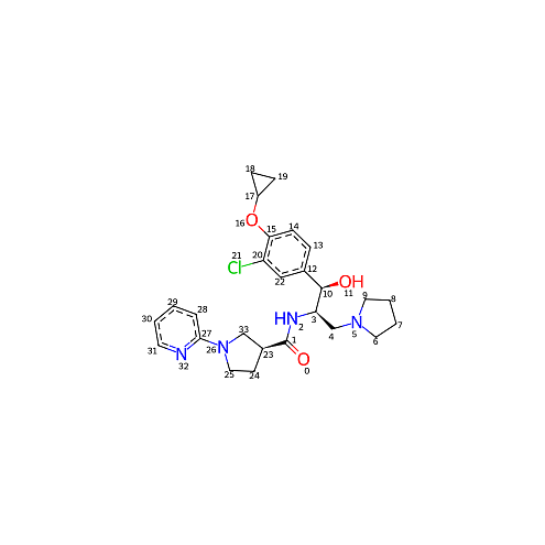 O=C(N[C@H](CN1CCCC1)[C@H](O)c1ccc(OC2CC2)c(Cl)c1)[C@H]1CCN(c2ccccn2)C1